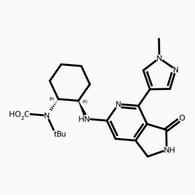 Cn1cc(-c2nc(N[C@@H]3CCCC[C@H]3N(C(=O)O)C(C)(C)C)cc3c2C(=O)NC3)cn1